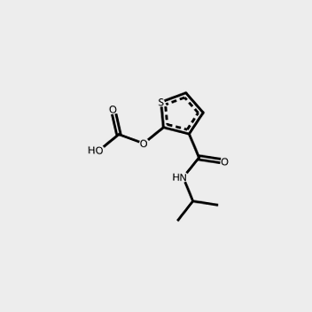 CC(C)NC(=O)c1ccsc1OC(=O)O